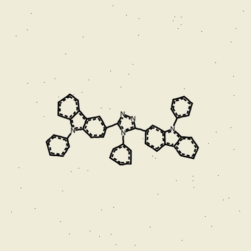 c1ccc(-n2c(-c3ccc4c(c3)c3ccccc3n4-c3ccccc3)nnc2-c2ccc3c4ccccc4n(-c4ccccc4)c3c2)cc1